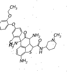 CCOc1ccccc1Oc1ccc(C2(N)C(=O)C(N)C3c4c2ccc(N)c4SC3C(=O)NC2CCCN(C)C2)c(C)c1